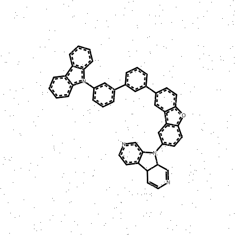 C1=CC2c3ccncc3N(c3ccc4oc5ccc(-c6cccc(-c7cccc(-n8c9ccccc9c9ccccc98)c7)c6)cc5c4c3)C2C=N1